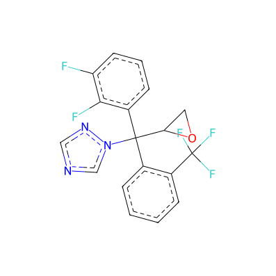 Fc1cccc(C(c2ccccc2C(F)(F)F)(C2CO2)n2cncn2)c1F